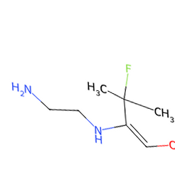 CC(C)(F)/C(=C\O)NCCN